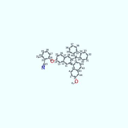 COc1ccc2cc(C3(c4ccc5cc(Oc6cccc(C)c6C#N)ccc5c4)c4ccccc4-c4ccccc43)ccc2c1